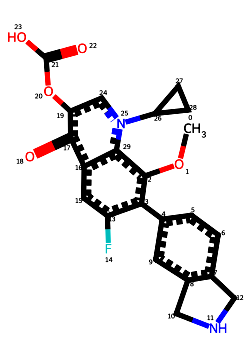 COc1c(-c2ccc3c(c2)CNC3)c(F)cc2c(=O)c(OC(=O)O)cn(C3CC3)c12